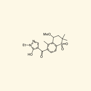 CCn1ncc(C(=O)c2ccc3c(c2C)C(OC)CC(C)(C)S3(=O)=O)c1O